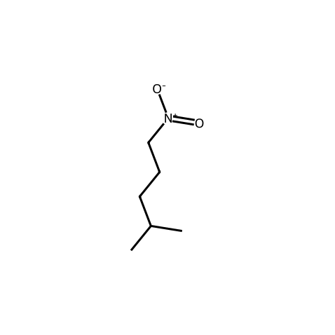 CC(C)CCC[N+](=O)[O-]